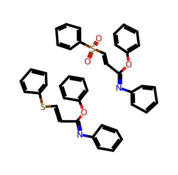 C(=CC(=Nc1ccccc1)Oc1ccccc1)Sc1ccccc1.O=S(=O)(C=CC(=Nc1ccccc1)Oc1ccccc1)c1ccccc1